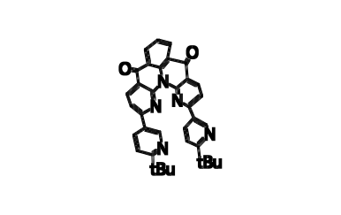 CC(C)(C)c1ccc(-c2ccc3c(=O)c4cccc5c(=O)c6ccc(-c7ccc(C(C)(C)C)nc7)nc6n(c3n2)c45)cn1